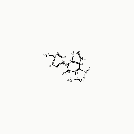 CN(C)c1c(C(=O)O)c(=O)n(-c2ccc(F)cc2)c2scnc12